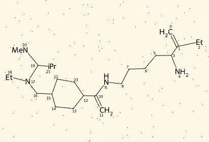 C=C(CC)C(N)CCCCNC(=C)C1CCC(CN(CC)C(NC)C(C)C)CC1